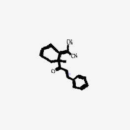 CC1(C(=O)/C=C/c2ccccc2)CCCCC1=C(C#N)C#N